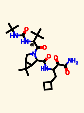 CC(C)(C)NC(=O)N[C@H](C(=O)N1CC2C(C1C(=O)NC(CC1CCC1)C(=O)C(N)=O)C2(C)C)C(C)(C)C